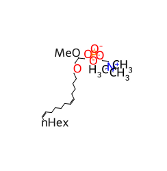 CCCCCC/C=C\CCCC/C=C\CCCCCOC[C@H](COP(=O)([O-])OCC[N+](C)(C)C)OC